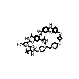 Cc1ncsc1-c1ccc([C@H](C)NC(=O)[C@@H]2C[C@@H](O)CN2C(=O)C(NC(=O)CN2CCN(CCN3CCC(OC4CC(Oc5ccc6c(c5)Sc5cc([N+](=O)[O-])ccc5N6)C4)CC3)CC2)C(C)(C)C)cc1